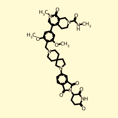 CNC(=O)N1CCc2c(-c3cc(OC)c(CN4CCC5(CC4)CCN(c4ccc6c(c4)C(=O)N(C4CCC(=O)NC4=O)C6=O)C5)c(OC)c3)cn(C)c(=O)c2C1